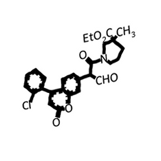 CCOC(=O)C1(C)CCCN(C(=O)C(C=O)c2ccc3c(-c4ccccc4Cl)cc(=O)oc3c2)C1